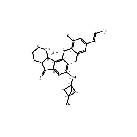 Cc1cc(/C=C/C#N)cc(C)c1Oc1nc(NC23CC(C#N)(C2)C3)nc2c1[C@@H]1OCCCN1C2=O